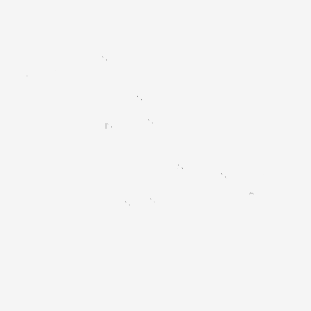 OC1CCNC(c2nnc(-c3cnn4ccc(N5CCC[C@@H]5c5cc(F)ccc5F)nc34)[nH]2)C1